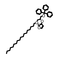 CCCCCCCCCCCCCCCCCCOCC(COC(c1ccccc1)(c1ccccc1)c1ccccc1)Oc1ccon1